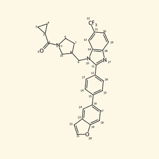 O=C(C1CC1)N1CCC(Cn2c(-c3ccc(-c4ccc5occc5c4)cc3)nc3ccc(C(F)(F)F)cc32)C1